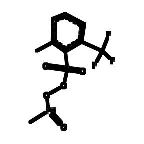 Cc1cccc(C(F)(F)F)c1S(=O)(=O)OO[PH](C)=O